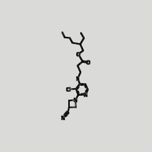 CCCCC(CC)COC(=O)CCSc1ccnc(N2CC(C#N)C2)c1Cl